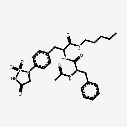 CCCCCNC(=O)C(Cc1ccc(N2CC(=O)NS2(=O)=O)cc1)NC(=O)C(Cc1ccccc1)NC(C)=O